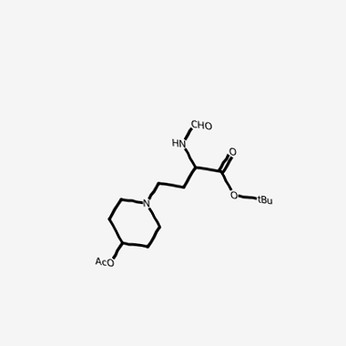 CC(=O)OC1CCN(CCC(NC=O)C(=O)OC(C)(C)C)CC1